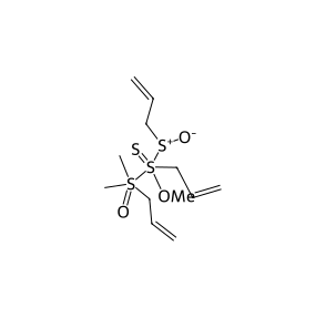 C=CC[S+]([O-])S(=S)(CC=C)(OC)S(C)(C)(=O)CC=C